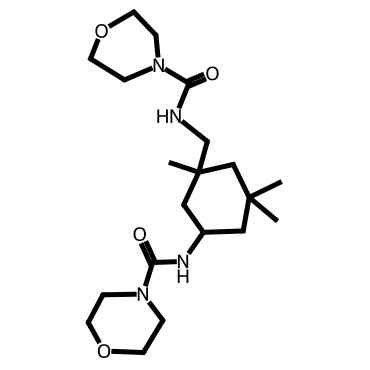 CC1(C)CC(NC(=O)N2CCOCC2)CC(C)(CNC(=O)N2CCOCC2)C1